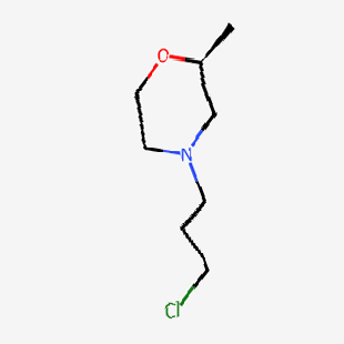 C[C@H]1CN(CCCCl)CCO1